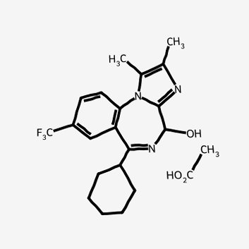 CC(=O)O.Cc1nc2n(c1C)-c1ccc(C(F)(F)F)cc1C(C1CCCCC1)=NC2O